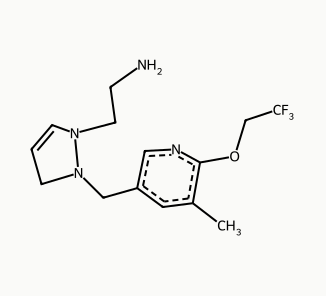 Cc1cc(CN2CC=CN2CCN)cnc1OCC(F)(F)F